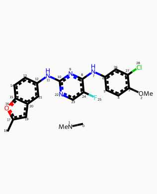 CNC.COc1ccc(Nc2nc(Nc3ccc4oc(C)cc4c3)ncc2F)cc1Cl